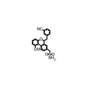 COc1cccc2c1-c1ccc(CS(N)(=O)=O)cc1C(Cc1cccc(C#N)c1)O2